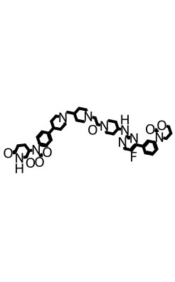 O=C1CCC(n2c(=O)oc3cc(C4CCN(CC5CCN(CC(=O)N6CCC(Nc7ncc(F)c(-c8cccc(N9CCCOC9=O)c8)n7)CC6)CC5)CC4)ccc32)C(=O)N1